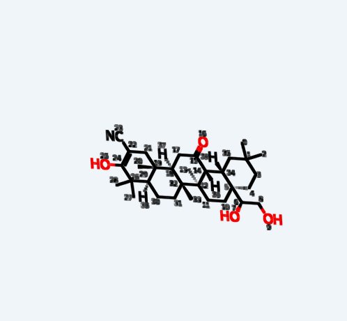 CC1(C)CC[C@]2([C@H](O)CO)CC[C@]3(C)[C@H](C(=O)C[C@@H]4[C@@]5(C)CC(C#N)=C(O)C(C)(C)[C@@H]5CC[C@]43C)[C@@H]2C1